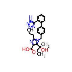 CCCc1nc(C(=O)O)c(C(C)(O)CC)n1Cc1ccc(-c2ccccc2-c2nnn[nH]2)cc1